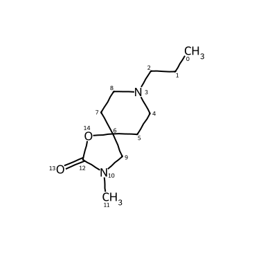 CCCN1CCC2(CC1)CN(C)C(=O)O2